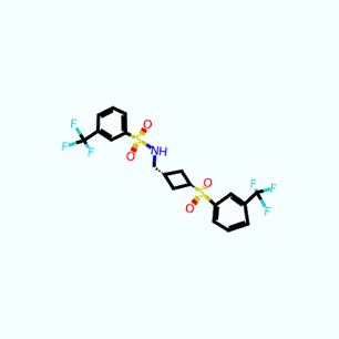 O=S(=O)(NC[C@H]1C[C@H](S(=O)(=O)c2cccc(C(F)(F)F)c2)C1)c1cccc(C(F)(F)F)c1